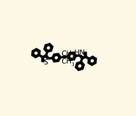 CC(C)(c1ccc(-c2[nH]cc(-c3ccccc3)c2-c2ccccc2)cc1)c1ccc(-c2scc(-c3ccccc3)c2-c2ccccc2)cc1